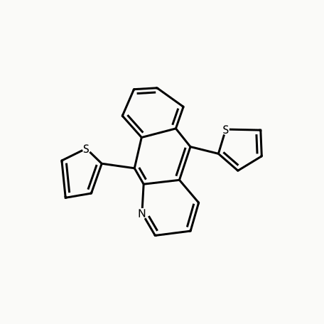 c1csc(-c2c3ccccc3c(-c3cccs3)c3ncccc23)c1